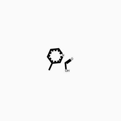 Cc1cccnc1.O=CO